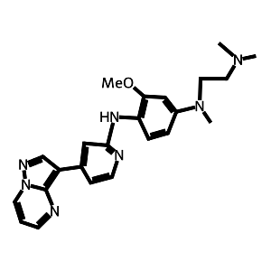 COc1cc(N(C)CCN(C)C)ccc1Nc1cc(-c2cnn3cccnc23)ccn1